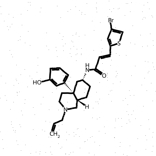 C=CCN1CC[C@@]2(c3cccc(O)c3)C[C@H](NC(=O)C=Cc3cc(Br)cs3)CC[C@@H]2C1